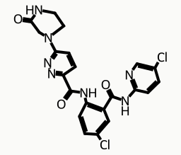 O=C1CN(c2ccc(C(=O)Nc3ccc(Cl)cc3C(=O)Nc3ccc(Cl)cn3)nn2)CCN1